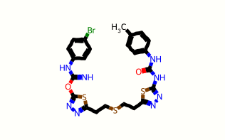 Cc1ccc(NC(=O)Nc2nnc(CCSCCc3nnc(OC(=N)Nc4ccc(Br)cc4)s3)s2)cc1